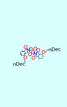 CCCCCCCCCCCCOc1cccc2c1C(=O)N(OC(=O)ON1C(=O)C3CCCC(OCCCCCCCCCCCC)C3C1=O)C2=O